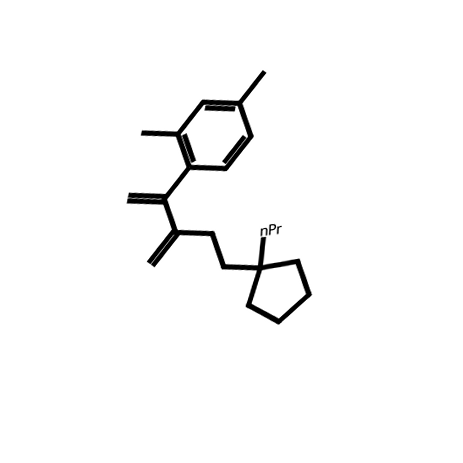 C=C(CCC1(CCC)CCCC1)C(=C)c1ccc(C)cc1C